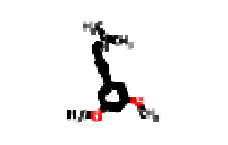 COc1cc(C#CC[SiH](C)C)cc(OC)c1